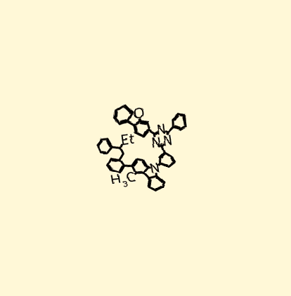 CCC(Cc1ccccc1-c1ccc2c(c1C)c1ccccc1n2-c1cccc(-c2nc(-c3ccccc3)nc(-c3ccc4c(c3)oc3ccccc34)n2)c1)c1ccccc1